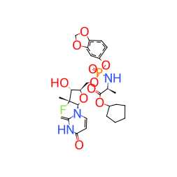 C=C1NC(=O)C=CN1[C@@H]1O[C@H](CO[P@@](=O)(N[C@@H](C)C(=O)OC2CCCCC2)Oc2ccc3c(c2)OCO3)[C@@H](O)[C@@]1(C)F